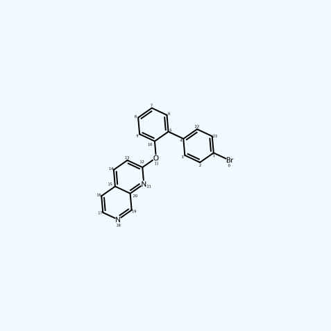 Brc1ccc(-c2ccccc2Oc2ccc3ccncc3n2)cc1